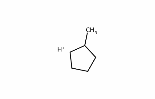 CC1CCCC1.[H+]